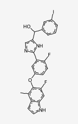 Cc1c(Oc2ccc(F)c(-c3ncc(C(O)c4cccc(I)c4)[nH]3)c2)c(F)cc2[nH]ccc12